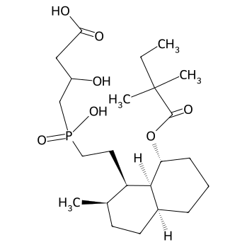 CCC(C)(C)C(=O)O[C@@H]1CCC[C@H]2CC[C@@H](C)[C@@H](CCP(=O)(O)CC(O)CC(=O)O)[C@H]21